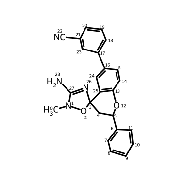 CN1OC2(CC(c3ccccc3)Oc3ccc(-c4cccc(C#N)c4)cc32)N=C1N